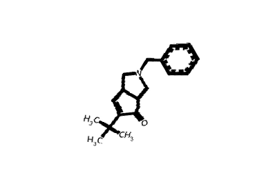 CC(C)(C)C1=CC2CN(Cc3ccccc3)CC2C1=O